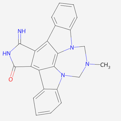 CN1Cn2c3ccccc3c3c4c(c5c6ccccc6n(c5c32)C1)C(=O)NC4=N